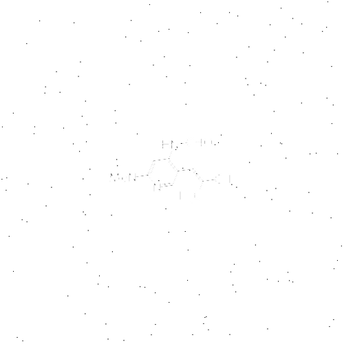 CNc1cc(NC=O)c(C=C(C)C)cn1